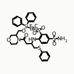 CC(C)(C)[Si](OCC1COCCN1C(=O)CC(CSc1ccccc1)Nc1ccc(S(N)(=O)=O)cc1S(=O)(=O)C(F)(F)F)(c1ccccc1)c1ccccc1